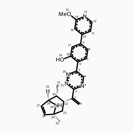 C=C(c1ncc(-c2ccc(-c3ccnc(OC)c3)cc2O)nn1)[C@@H]1C[C@@]2(C)C=C[C@H](N2)[C@@H]1F